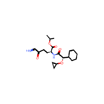 CC(C)OC(=O)[C@H](CCC(=O)C=N)NC(=O)[C@@H](OC1CC1)C1CCCCC1